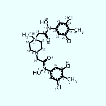 Cc1c(Cl)cc(N(O)C(=O)CN2CC[N+](C)(CC(=O)N(O)c3cc(Cl)c(C)c(Cl)c3)CC2)cc1Cl